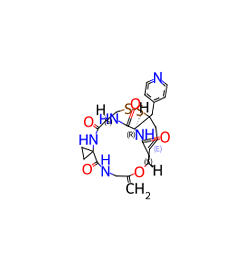 C=C1CNC(=O)C2(CC2)NC(=O)[C@H]2CSSCC/C=C/[C@H](CC(=O)N[C@H](Cc3ccncc3)C(=O)N2)O1